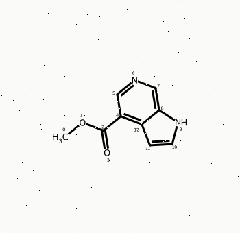 COC(=O)c1cncc2[nH]ccc12